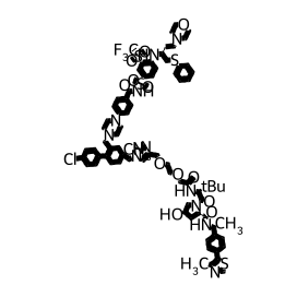 Cc1ncsc1-c1ccc([C@H](C)NC(=O)[C@@H]2C[C@@H](O)CN2C(=O)[C@@H](NC(=O)COCCOCc2cn(CC3(C)CCC(c4ccc(Cl)cc4)=C(CN4CCN(c5ccc(C(=O)NS(=O)(=O)c6ccc(N[C@H](CCN7CCOCC7)CSc7ccccc7)c(S(=O)(=O)C(F)(F)F)c6)cc5)CC4)C3)nn2)C(C)(C)C)cc1